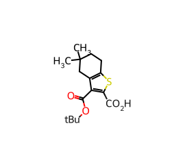 CC1(C)CCc2sc(C(=O)O)c(C(=O)OC(C)(C)C)c2C1